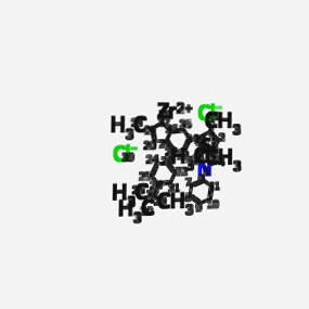 CC1=C2c3cn(-c4ccccc4)cc3C1[Si]2(C)C.CC1=Cc2c(-c3ccc(C(C)(C)C)cc3)cccc2[CH]1[Zr+2].[Cl-].[Cl-]